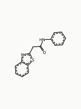 O=C(Cc1nc2ccccc2s1)Nc1ccccc1